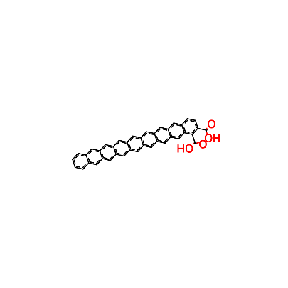 O=C(O)c1ccc2cc3cc4cc5cc6cc7cc8cc9ccccc9cc8cc7cc6cc5cc4cc3cc2c1C(=O)O